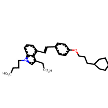 O=C(O)CCCn1cc(CC(=O)O)c2c(C=Cc3ccc(OCCCC4CCCCC4)cc3)cccc21